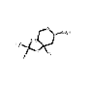 C[Si](C)(C)OC1(C#N)CCON(C(=O)O)C1